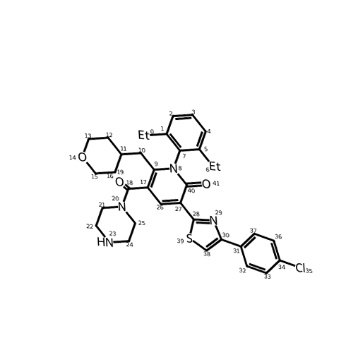 CCc1cccc(CC)c1-n1c(CC2CCOCC2)c(C(=O)N2CCNCC2)cc(-c2nc(-c3ccc(Cl)cc3)cs2)c1=O